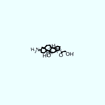 C[C@]12C[C@H](O)[C@H]3[C@@H](CCC4=C[C@H](N)CC[C@@]43C)[C@@H]1CC[C@@H]2C(=O)CO